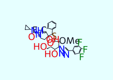 CO[C@@H]1[C@@H](n2cc(-c3cc(F)c(F)c(F)c3)nn2)[C@@H](O)[C@@H](CO)O[C@H]1SC(c1ccccc1C(F)(F)F)C1(O)CCN(C(=O)NC2CC2)CC1